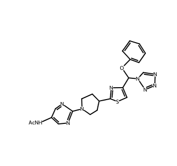 CC(=O)Nc1cnc(N2CCC(c3nc(C(Oc4ccccc4)n4cnnn4)cs3)CC2)nc1